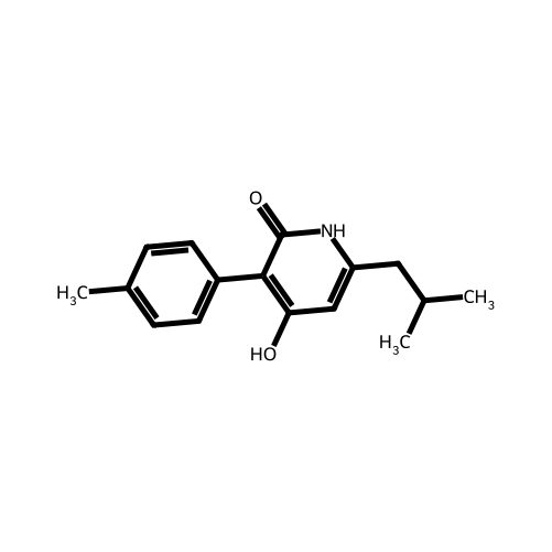 Cc1ccc(-c2c(O)cc(CC(C)C)[nH]c2=O)cc1